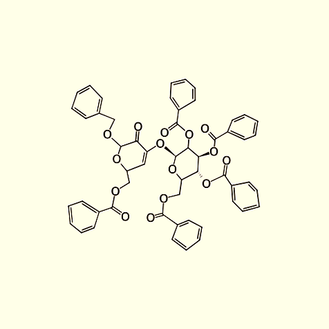 O=C(OCC1C=C(O[C@@H]2OC(COC(=O)c3ccccc3)[C@@H](OC(=O)c3ccccc3)[C@H](OC(=O)c3ccccc3)C2OC(=O)c2ccccc2)C(=O)C(OCc2ccccc2)O1)c1ccccc1